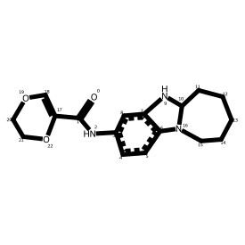 O=C(Nc1ccc2c(c1)NC1CCCCCN21)C1=COCCO1